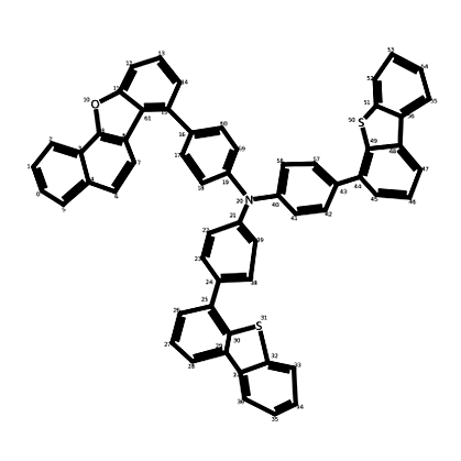 c1ccc2c(c1)ccc1c2oc2cccc(-c3ccc(N(c4ccc(-c5cccc6c5sc5ccccc56)cc4)c4ccc(-c5cccc6c5sc5ccccc56)cc4)cc3)c21